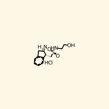 Cl.N[C@@H]1Cc2ccccc2[C@H]1CS(=O)(=O)NCCO